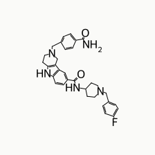 NC(=O)c1ccc(CN2CCc3[nH]c4ccc(C(=O)NC5CCN(Cc6ccc(F)cc6)CC5)cc4c3C2)cc1